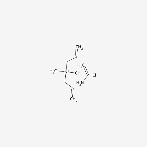 C=CC[N+](C)(C)CC=C.C=CN.[Cl-]